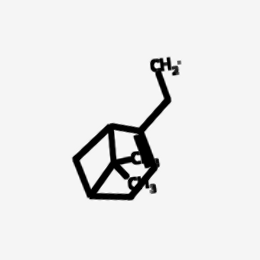 [CH2]CC1=CCC2CC1C2(C)C